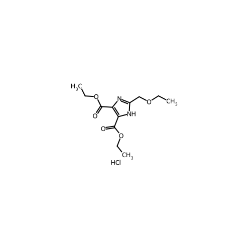 CCOCc1nc(C(=O)OCC)c(C(=O)OCC)[nH]1.Cl